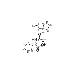 C=CCC1(COC(=O)N[C@H](C(=O)O)C2CCCCC2)CCCC1